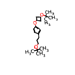 CC(C)(C)OCCCc1ccc(OC2CC(OC(C)(C)C)C2)cc1